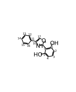 Oc1cccc(O)c1-c1nc(-c2ccccc2)co1